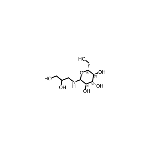 OCC(O)CNC1O[C@H](CO)[C@@H](O)[C@H](O)[C@H]1O